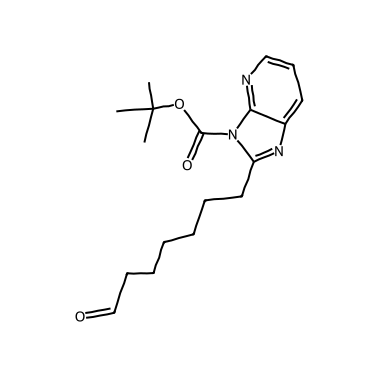 CC(C)(C)OC(=O)n1c(CCCCCCC=O)nc2cccnc21